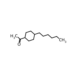 CCCCCCC1CCC(C(C)=O)CC1